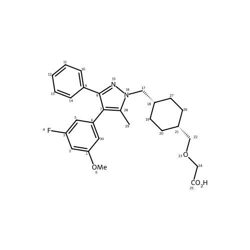 COc1cc(F)cc(-c2c(-c3ccccc3)nn(C[C@H]3CC[C@@H](COCC(=O)O)CC3)c2C)c1